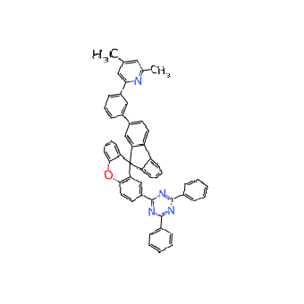 Cc1cc(C)nc(-c2cccc(-c3ccc4c(c3)C3(c5ccccc5Oc5ccc(-c6nc(-c7ccccc7)nc(-c7ccccc7)n6)cc53)c3ccccc3-4)c2)c1